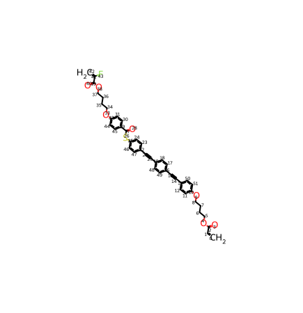 C=CC(=O)OCCCCOc1ccc(C#Cc2ccc(C#Cc3ccc(SC(=O)c4ccc(OCCCCOC(=O)C(=C)F)cc4)cc3)cc2)cc1